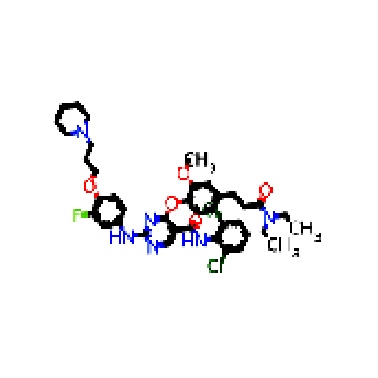 CCN(CC)C(=O)CCc1ccc(Oc2nc(Nc3ccc(OCCCN4CCCCC4)c(F)c3)ncc2C(=O)Nc2c(Cl)cccc2Cl)c(OC)c1